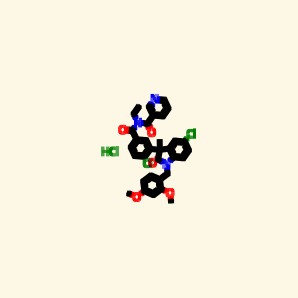 CCN(C(=O)c1cccnc1)C(=O)c1ccc(Cl)c(C2(C)C(=O)N(Cc3ccc(OC)cc3OC)c3ccc(Cl)cc32)c1.Cl